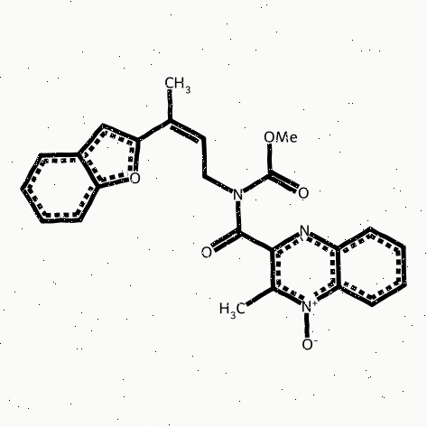 COC(=O)N(CC=C(C)c1cc2ccccc2o1)C(=O)c1nc2ccccc2[n+]([O-])c1C